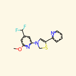 COc1cc(C(F)F)cc(N2C=C(c3ccccn3)SC2)n1